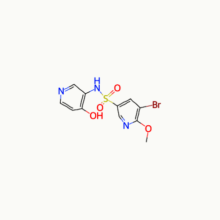 COc1ncc(S(=O)(=O)Nc2cnccc2O)cc1Br